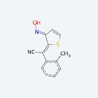 Cc1ccccc1C(C#N)=C1SC=CC1=NO